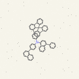 c1ccc(-c2ccc(N(c3ccc(-c4cccc5c4C4(c6ccccc6-c6ccccc64)c4ccccc4-5)cc3)c3ccc(-c4cccc5ccccc45)cc3)c3ccccc23)cc1